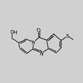 CSc1ccc2nc3ccc(CO)cn3c(=O)c2c1